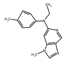 CCN(c1ccc(C)cc1)c1cc2c(cn1)ncn2C